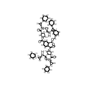 O=C(OCc1ccccc1)c1cc(C(=O)N2C[C@@H](C(=O)N[C@H]3C[C@@H]3c3ccccc3)[C@H](C(=O)N[C@H]3C[C@@H]3c3ccccc3)C2)ccc1C(=O)N1C[C@@H](C(=O)NC2C[C@@H]2c2ccccc2)[C@H](C(=O)N[C@H]2C[C@@H]2c2ccccc2)C1